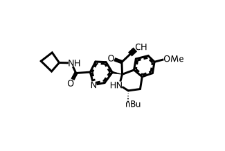 C#CC(=O)[C@@]1(c2ccc(C(=O)NC3CCC3)nc2)N[C@@H](CCCC)Cc2cc(OC)ccc21